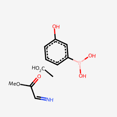 CC(=O)O.COC(=O)C=N.OB(O)c1cccc(O)c1